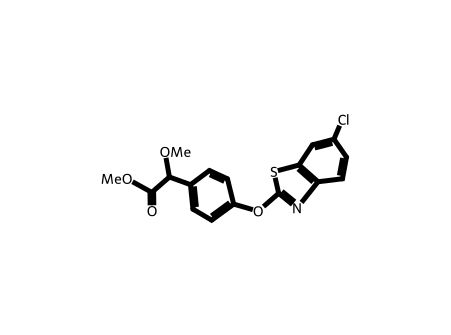 COC(=O)C(OC)c1ccc(Oc2nc3ccc(Cl)cc3s2)cc1